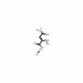 CCN/C(=C\C(C)=N)C(=O)N=C=S